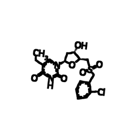 CCc1cn([C@H]2C[C@H](O)[C@@H](CS(=O)(=O)Cc3ccccc3Cl)O2)c(=O)[nH]c1=O